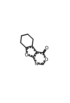 O=c1ocnc2oc3c(c12)CCCC3